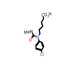 CNC(=O)N(CCCCCC(=O)O)c1ccc(Cl)cc1